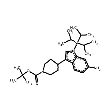 CC(C)[Si](C(C)C)(C(C)C)n1cc(C2CCN(C(=O)OC(C)(C)C)CC2)c2ccc(N)cc21